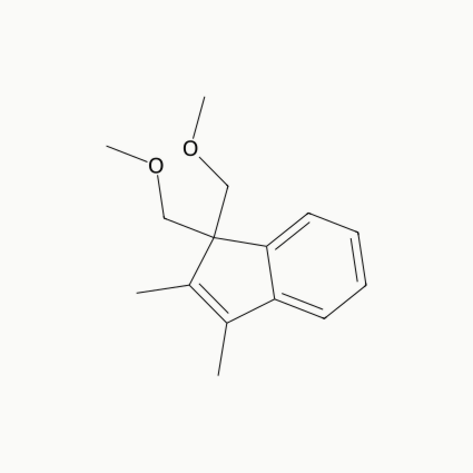 COCC1(COC)C(C)=C(C)c2ccccc21